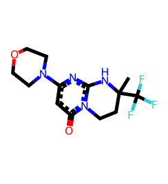 CC1(C(F)(F)F)CCn2c(nc(N3CCOCC3)cc2=O)N1